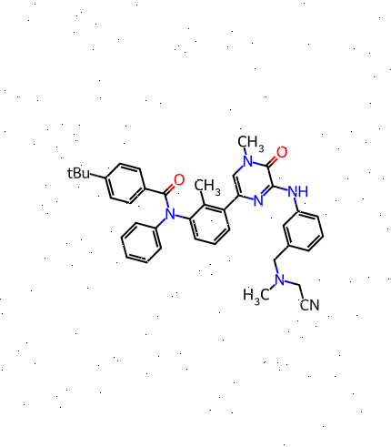 Cc1c(-c2cn(C)c(=O)c(Nc3cccc(CN(C)CC#N)c3)n2)cccc1N(C(=O)c1ccc(C(C)(C)C)cc1)c1ccccc1